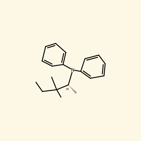 CCC(C)(C)[C@@H](C)N(c1ccccc1)c1ccccc1